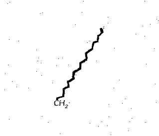 [C]=CCCCCCCCCCCCCCCC[CH2]